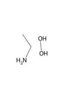 CCN.OO